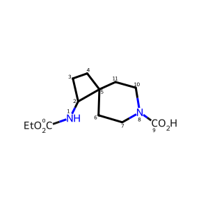 CCOC(=O)NC1CCC12CCN(C(=O)O)CC2